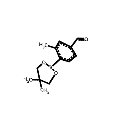 Cc1cc(C=O)ccc1B1OCC(C)(C)CO1